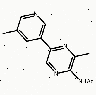 CC(=O)Nc1ncc(-c2cncc(C)c2)nc1C